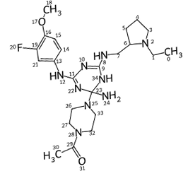 CCN1CCCC1CNC1=NC(Nc2ccc(OC)c(F)c2)=NC(N)(N2CCN(C(C)=O)CC2)N1